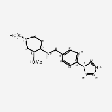 COC1CN(C(=O)O)CCC1NCc1ccc(-n2cnnn2)nc1